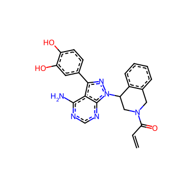 C=CC(=O)N1Cc2ccccc2C(n2nc(-c3ccc(O)c(O)c3)c3c(N)ncnc32)C1